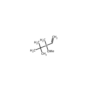 C=C[Si](C)(OC)C(C)(C)C